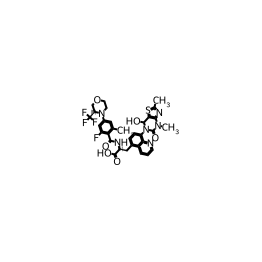 Cc1nc2c(s1)C(O)N(c1ccc(C[C@H](NC(=O)c3c(C)cc(N4CCOC[C@@H]4C(F)(F)F)cc3F)C(=O)O)c3cccnc13)C(=O)N2C